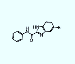 O=C(Nc1ccccc1)c1nc2cc(Br)ccc2[nH]1